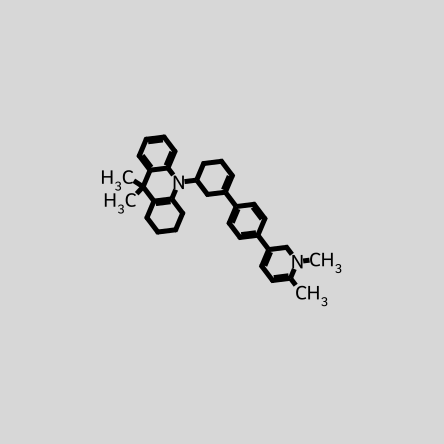 CC1=CC=C(c2ccc(C3=CCCC(N4C5=C(CCCC5)C(C)(C)c5ccccc54)C3)cc2)CN1C